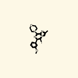 COc1cccc(-c2nc(N3CCOCC3)c3nc(C)cn3c2I)c1